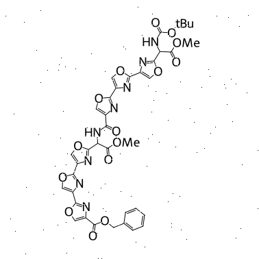 COC(=O)C(NC(=O)OC(C)(C)C)c1nc(-c2nc(-c3nc(C(=O)NC(C(=O)OC)c4nc(-c5nc(-c6nc(C(=O)OCc7ccccc7)co6)co5)co4)co3)co2)co1